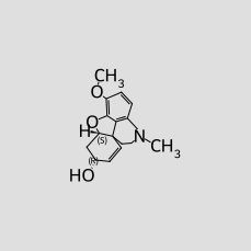 COc1ccc2c3c1O[C@H]1C[C@@H](O)C=CC31CCN(C)C2